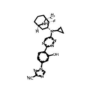 C[C@]12CCC[C@H](C[C@@H](N(c3cnc(-c4ccc(-n5cnc(C#N)n5)cc4O)nn3)C3CC3)[C@H]1F)N2